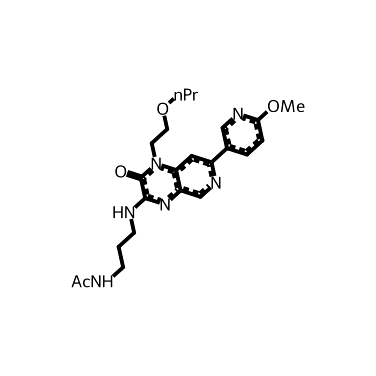 CCCOCCn1c(=O)c(NCCCNC(C)=O)nc2cnc(-c3ccc(OC)nc3)cc21